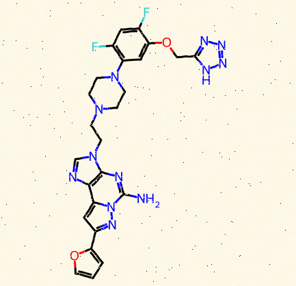 Nc1nc2c(ncn2CCN2CCN(c3cc(OCc4nnn[nH]4)c(F)cc3F)CC2)c2cc(-c3ccco3)nn12